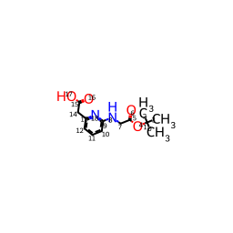 CC(C)(C)OC(=O)CNc1cccc(CC(=O)O)n1